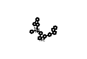 N#Cc1cc(-c2ccc(-c3cccc4c3ccc3ccccc34)cc2)ccc1-c1ccccc1-c1cccc(-c2nc(-c3ccccc3)nc(-c3ccc4c5c(cccc35)-c3ccccc3-4)n2)c1